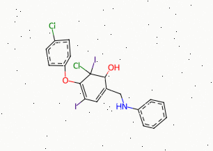 OC1C(CNc2ccccc2)=CC(I)=C(Oc2ccc(Cl)cc2)C1(Cl)I